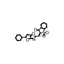 O=C1/C(=C\c2nc3oc(-c4ccccc4)cc3o2)S(=O)(=O)c2ccccc21